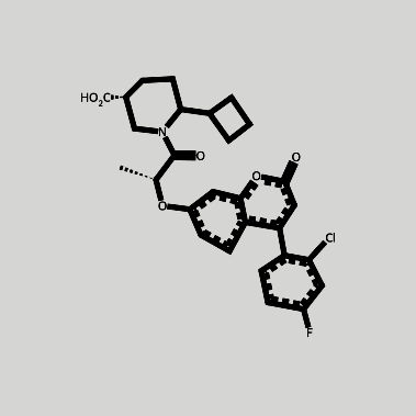 C[C@@H](Oc1ccc2c(-c3ccc(F)cc3Cl)cc(=O)oc2c1)C(=O)N1C[C@H](C(=O)O)CCC1C1CCC1